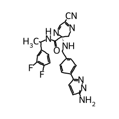 CC(NC(=O)[C@]1(NCc2ccc(-c3ccc(N)nn3)cc2)CN=C(C#N)C=N1)c1ccc(F)c(F)c1